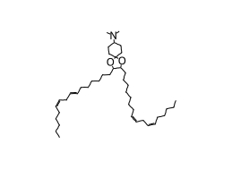 CCCCC/C=C\C/C=C\CCCCCCCC1OC2(CCC(N(C)C)CC2)OC1CCCCCC/C=C/C/C=C\CCCCC